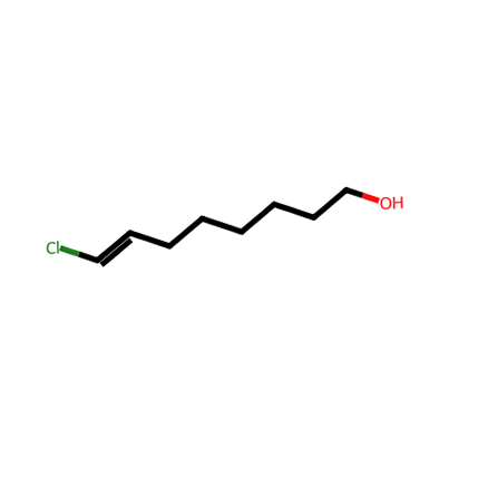 OCCCCCCC=CCl